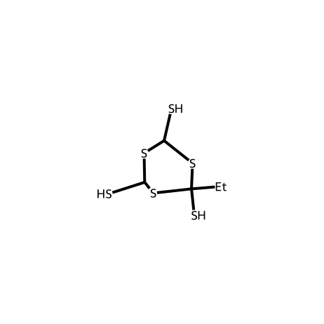 CCC1(S)SC(S)SC(S)S1